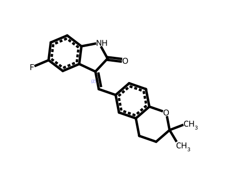 CC1(C)CCc2cc(/C=C3\C(=O)Nc4ccc(F)cc43)ccc2O1